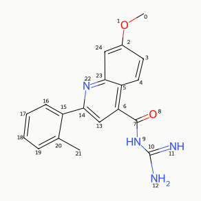 COc1ccc2c(C(=O)NC(=N)N)cc(-c3ccccc3C)nc2c1